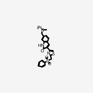 CC(C)N(C)Cc1ccc2cc(-c3csc(CS(=O)(=O)c4ccccc4)n3)c(=O)[nH]c2c1